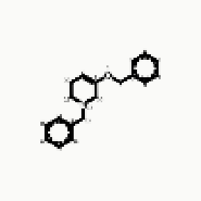 C1=C(OCc2ccccc2)CN(Cc2ccccc2)CC1